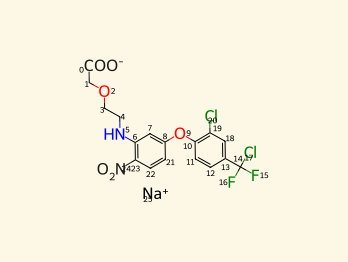 O=C([O-])COCCNc1cc(Oc2ccc(C(F)(F)Cl)cc2Cl)ccc1[N+](=O)[O-].[Na+]